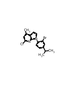 Cc1cc(Cl)nc2c1ccn2-c1ccc(C(C)C)cc1Br